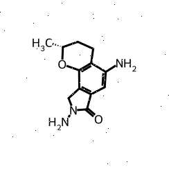 C[C@@H]1CCc2c(N)cc3c(c2O1)CN(N)C3=O